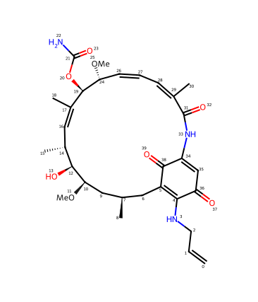 C=CCNC1=C2C[C@@H](C)C[C@@H](OC)[C@@H](O)[C@H](C)C=C(C)[C@@H](OC(N)=O)[C@H](OC)C=CC=C(C)C(=O)NC(=CC1=O)C2=O